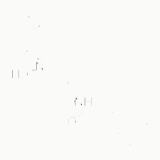 CN(CCCCNC(=O)c1ccc(-c2ccccc2)cc1)[C@@H]1CCc2ccccc2C1